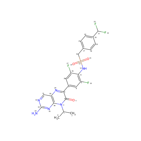 CC(C)n1c(=O)c(-c2cc(F)c(NS(=O)(=O)Cc3ccc(C(F)F)cc3)c(F)c2)nc2cnc(N)nc21